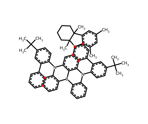 Cc1cc(C)c2c(c1)C1(C)CCCCC1(C)N2c1cc2c3c(c1)N(c1ccc(C(C)(C)C)cc1-c1ccccc1)c1ccccc1B3c1ccccc1N2c1ccc(C(C)(C)C)cc1-c1ccccc1